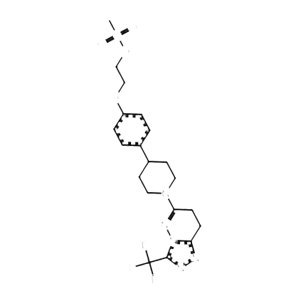 CS(=O)(=O)OCCOc1ccc(C2CCN(C3=Nn4c(nnc4C(F)(F)F)CC3)CC2)cc1